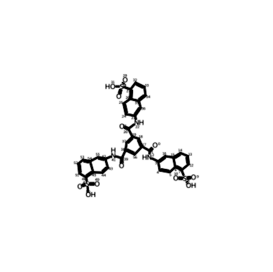 O=C(Nc1ccc2c(S(=O)(=O)O)cccc2c1)c1cc(C(=O)Nc2ccc3c(S(=O)(=O)O)cccc3c2)cc(C(=O)Nc2ccc3c(S(=O)(=O)O)cccc3c2)c1